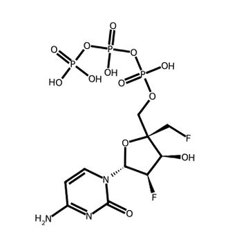 Nc1ccn([C@@H]2O[C@](CF)(COP(=O)(O)OP(=O)(O)OP(=O)(O)O)[C@@H](O)[C@H]2F)c(=O)n1